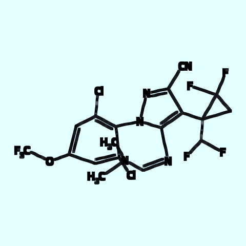 CN(C)/C=N\c1c(C2(C(F)F)CC2(F)F)c(C#N)nn1-c1c(Cl)cc(OC(F)(F)F)cc1Cl